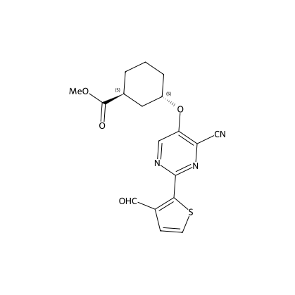 COC(=O)[C@H]1CCC[C@H](Oc2cnc(-c3sccc3C=O)nc2C#N)C1